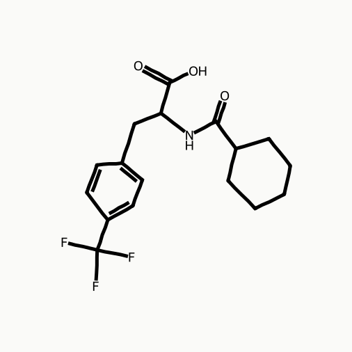 O=C(NC(Cc1ccc(C(F)(F)F)cc1)C(=O)O)C1CCCCC1